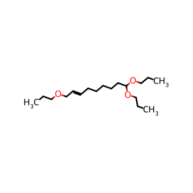 CCCOCC=CCCCCCC(OCCC)OCCC